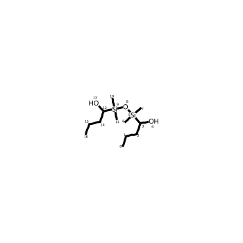 CCCC(O)[Si](C)(C)O[Si](C)(C)C(O)CCC